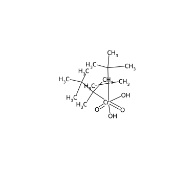 CC(C)(C)[C](C)(C)[Cr](=[O])(=[O])([OH])([OH])[C](C)(C)C(C)(C)C